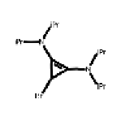 CC(C)N(C1=C(N(C(C)C)C(C)C)C1Br)C(C)C